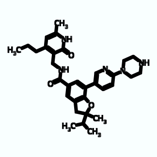 CCCc1cc(C)[nH]c(=O)c1CNC(=O)c1cc2c(c(-c3ccc(N4CCNCC4)nc3)c1)OC(C)(C(C)C)C2